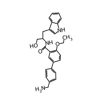 CCOc1ccc(-c2ccc(CN)cc2)cc1C(=O)NC(CO)Cc1c[nH]c2ccccc12